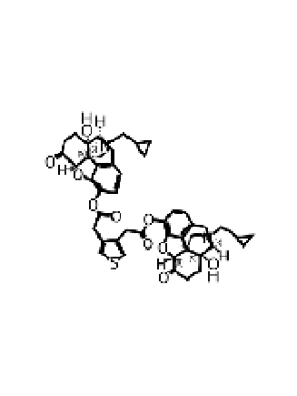 O=C(Cc1cscc1CC(=O)Oc1ccc2c3c1O[C@H]1C(=O)CC[C@@]4(O)[C@@H](C2)N(CC2CC2)CC[C@]314)Oc1ccc2c3c1O[C@H]1C(=O)CC[C@@]4(O)[C@@H](C2)N(CC2CC2)CC[C@]314